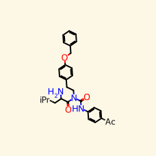 CC(=O)c1ccc(NC(=O)N(CCc2ccc(OCc3ccccc3)cc2)C(=O)C(N)CC(C)C)cc1